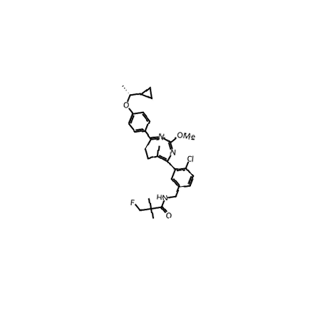 COC1=N/C(c2cc(CNC(=O)C(C)(C)CF)ccc2Cl)=C(\C)CC/C(c2ccc(O[C@H](C)C3CC3)cc2)=N\1